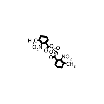 Cc1cccc(C(=O)OS(=O)(=O)OC(=O)c2cccc(C)c2[N+](=O)[O-])c1[N+](=O)[O-]